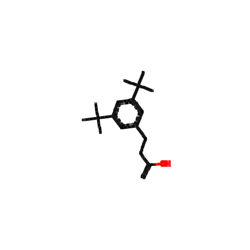 C=C(O)CCc1cc(C(C)(C)C)cc(C(C)(C)C)c1